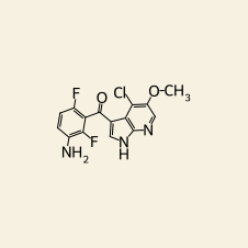 COc1cnc2[nH]cc(C(=O)c3c(F)ccc(N)c3F)c2c1Cl